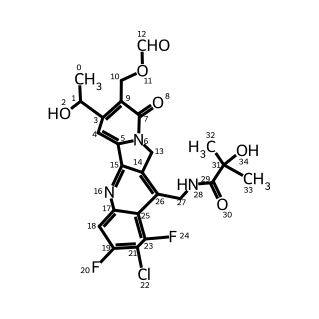 CC(O)c1cc2n(c(=O)c1COC=O)Cc1c-2nc2cc(F)c(Cl)c(F)c2c1CNC(=O)C(C)(C)O